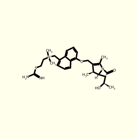 CC1=C(COc2cccc3c(C[N+](C)(C)CCSC(=N)N)cccc23)[C@H](C)[C@@H]2[C@@H]([C@@H](C)O)C(=O)N12